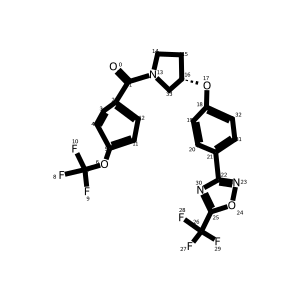 O=C(c1ccc(OC(F)(F)F)cc1)N1CC[C@H](Oc2ccc(-c3noc(C(F)(F)F)n3)cc2)C1